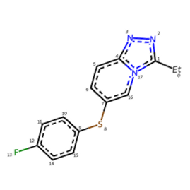 CCc1nnc2ccc(Sc3ccc(F)cc3)cn12